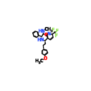 CNC(=O)[C@H](N[C@H](CCc1ccc(OC)cc1)c1ccc(C(F)(F)F)nc1)c1ccccc1